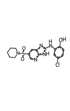 O=S(=O)(c1cnc2[nH]c(Nc3cc(Cl)ccc3O)nc2c1)N1CCCCC1